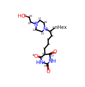 CCCCCCC(CCCCC1C(=O)NC(=O)NC1=O)N1CCN(CCO)CC1